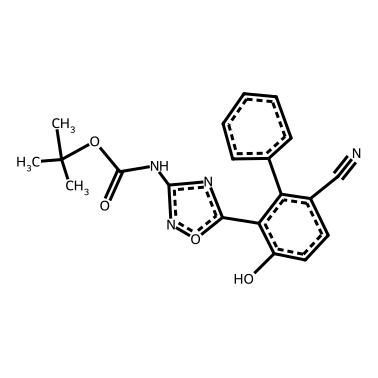 CC(C)(C)OC(=O)Nc1noc(-c2c(O)ccc(C#N)c2-c2ccccc2)n1